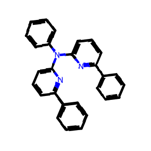 c1ccc(-c2cccc(N(c3ccccc3)c3cccc(-c4ccccc4)n3)n2)cc1